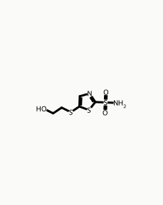 NS(=O)(=O)c1ncc(SCCO)s1